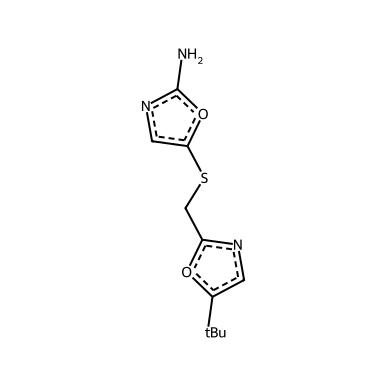 CC(C)(C)c1cnc(CSc2cnc(N)o2)o1